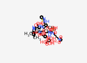 COCCN(CCOC12CC3(C)CC(C)(CC(Cn4ncc(-c5ccc(N6CCc7c(OC)ccc(C(=O)Nc8nc9ccccc9s8)c7C6)nc5C(=O)O)c4C)(C3)C1)C2)C(=O)OCc1ccc(O[C@@H]2O[C@H](C(=O)O)[C@@H](O)[C@H](O)[C@H]2O)cc1OCCCNC(=O)[C@H](CS(=O)(=O)O)NC(=O)CCCCCN1C(=O)C=CC1=O